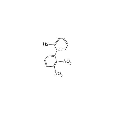 O=[N+]([O-])c1cccc(-c2ccccc2S)c1[N+](=O)[O-]